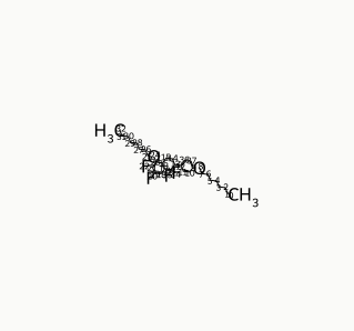 CCCCCCCCOc1ccc(C2CCc3c(cc(F)c(F)c3OCCCCCCCC)C2(F)F)cc1